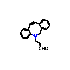 O=CCCN1Cc2ccccc2C#Cc2ccccc21